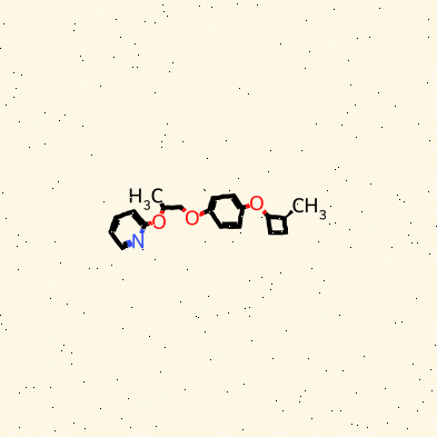 CC(COc1ccc(OC2CC[C@@H]2C)cc1)Oc1ccccn1